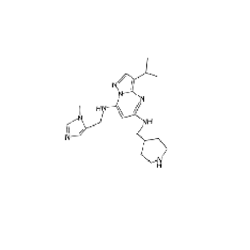 CC(C)c1cnn2c(NCc3cncn3C)cc(NCC3CCNCC3)nc12